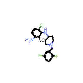 Nc1ccc(Cl)c(NC2CCN(Cc3cc(F)ccc3F)CC2)c1[N+](=O)[O-]